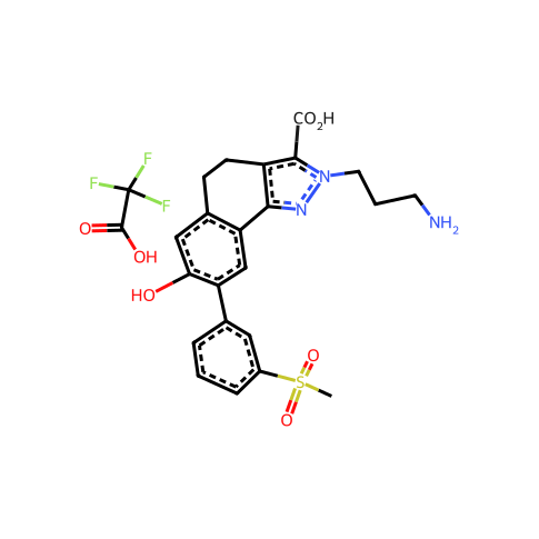 CS(=O)(=O)c1cccc(-c2cc3c(cc2O)CCc2c-3nn(CCCN)c2C(=O)O)c1.O=C(O)C(F)(F)F